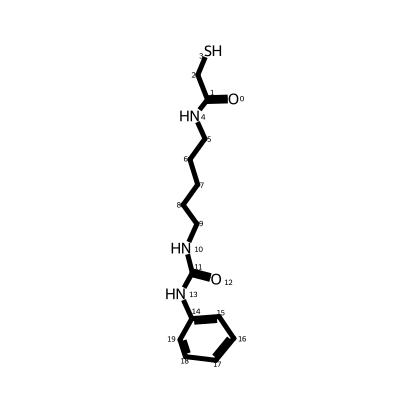 O=C(CS)NCCCCCNC(=O)Nc1ccccc1